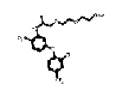 COCCOCCOCC(C)Nc1cc(Oc2ccc(C(F)(F)F)cc2Cl)ccc1[N+](=O)[O-]